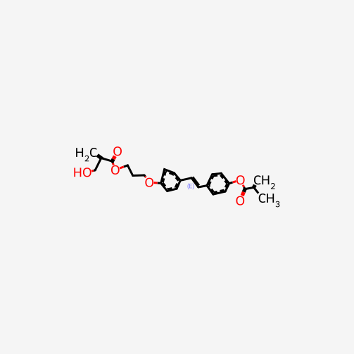 C=C(C)C(=O)Oc1ccc(/C=C/c2ccc(OCCCOC(=O)C(=C)CO)cc2)cc1